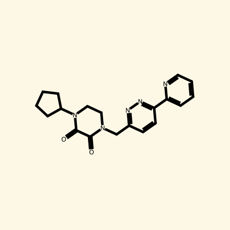 O=C1C(=O)N(C2CCCC2)CCN1Cc1ccc(-c2ccccn2)nn1